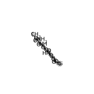 CCCCOC(=O)[C@@H](N)CCC(=O)NCCOCCOCC(=O)NCCOCCOCC(=O)OCc1ccccc1